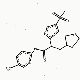 CS(=O)(=O)c1cnn(C(CC2CCCC2)C(=O)Nc2ccc(C(F)(F)F)cn2)c1